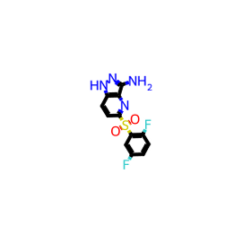 Nc1n[nH]c2ccc(S(=O)(=O)c3cc(F)ccc3F)nc12